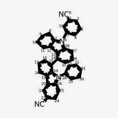 N#Cc1cccc(-n2c3ccccc3c3c(-c4cccc5c6cc(C#N)ccc6n(-c6ccccc6)c45)cccc32)c1